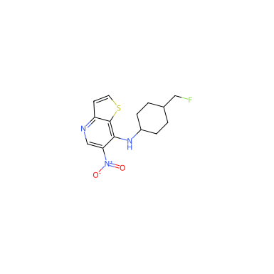 O=[N+]([O-])c1cnc2ccsc2c1NC1CCC(CF)CC1